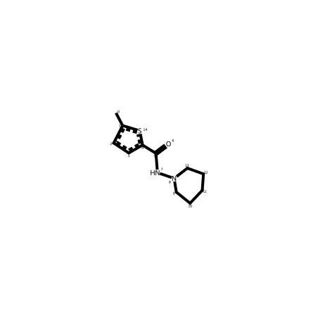 Cc1ccc(C(=O)NN2CCCCC2)s1